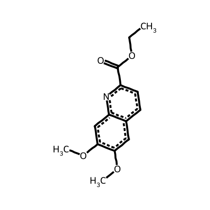 CCOC(=O)c1ccc2cc(OC)c(OC)cc2n1